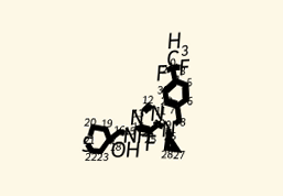 CC(F)(F)c1ccc(CN(c2ncnc(NCC3(O)CCSCC3)c2F)C2CC2)cc1